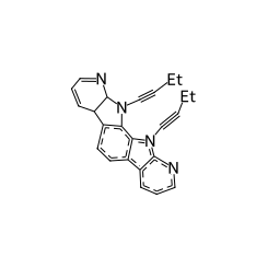 CCC#CN1c2c(ccc3c4cccnc4n(C#CCC)c23)C2C=CC=NC21